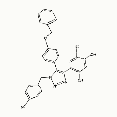 CCc1cc(-c2nnn(Cc3ccc(C#N)cc3)c2-c2ccc(OCc3ccccc3)cc2)c(O)cc1O